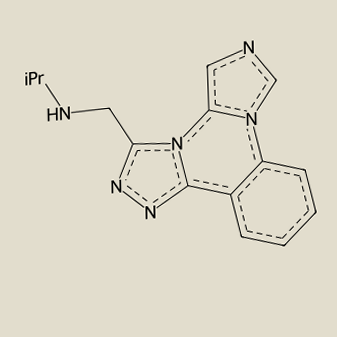 CC(C)NCc1nnc2c3ccccc3n3cncc3n12